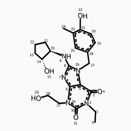 CCn1c(=O)c2c(nc(N[C@@H]3CCC[C@H]3O)n2Cc2ccc(O)c(C)c2)n(CCO)c1=O